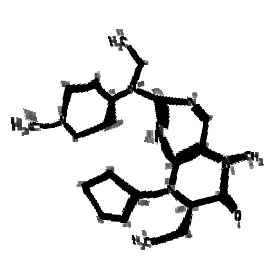 CC[C@@H]1C(=O)N(C)c2cnc(N(CC)C3CCN(C)CC3)nc2N1C1CCCC1